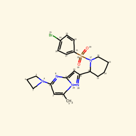 Cc1cc(N2CCC2)nc2cc(C3CCCCN3S(=O)(=O)c3ccc(Br)cc3)nn12